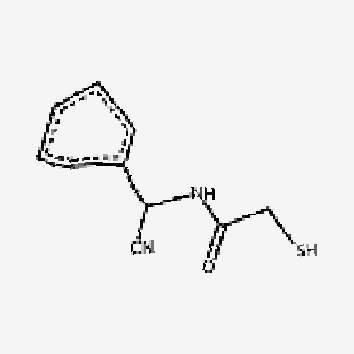 N#CC(NC(=O)CS)c1ccccc1